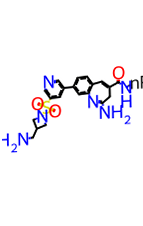 CCCNC(=O)C1=Cc2ccc(-c3cncc(S(=O)(=O)N4CC(CN)C4)c3)cc2N=C(N)C1